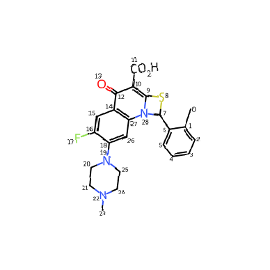 Cc1ccccc1C1Sc2c(C(=O)O)c(=O)c3cc(F)c(N4CCN(C)CC4)cc3n21